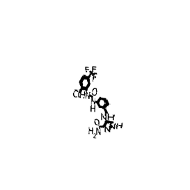 NC(=O)c1n[nH]cc1NCc1cccc(NC(=O)Nc2cc(C(F)(F)F)ccc2Cl)c1